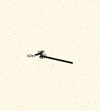 CC#CC#CC#CC#CC#CC#CC#CC#CC#CC#CC#CC#CC(=O)N[C@@H](CO)[C@H](OC(C)C)[C@H](O)CCCCCCCCCCCCCC